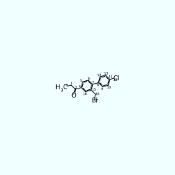 CCC(=O)c1ccc(-c2ccc(Cl)cc2)c(CBr)c1